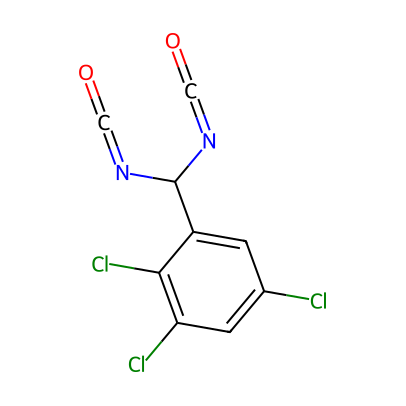 O=C=NC(N=C=O)c1cc(Cl)cc(Cl)c1Cl